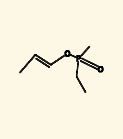 CC=COP(C)(=O)CC